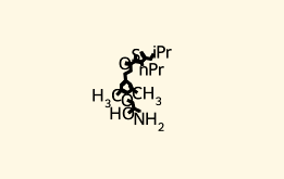 CCCc1c(CC(C)C)csc1C(=O)CCc1cc(C)c(OCC(O)CN)c(C)c1